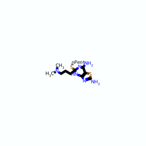 CCCCCSC1(CCCN(C)C)N=C(N)c2sc(N)nc2N1